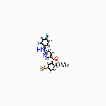 COc1ccc(Br)cc1C(=O)c1ccc(Nc2ccc(F)cc2F)nc1